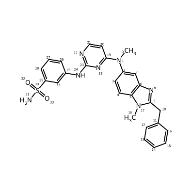 CN(c1ccc2c(c1)nc(Cc1ccccc1)n2C)c1ccnc(Nc2cccc(S(N)(=O)=O)c2)n1